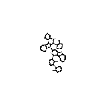 Cc1ccccc1-c1cccc(-c2nc(-n3c4ccccc4c4c5ccccc5c(C)c(-c5ccccc5C)c43)nc3sc4ccccc4c23)c1C